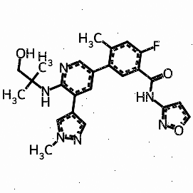 Cc1cc(F)c(C(=O)Nc2ccon2)cc1-c1cnc(NC(C)(C)CO)c(-c2cnn(C)c2)c1